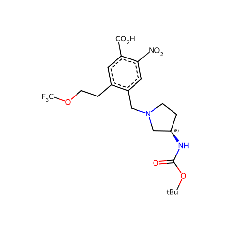 CC(C)(C)OC(=O)N[C@@H]1CCN(Cc2cc([N+](=O)[O-])c(C(=O)O)cc2CCOC(F)(F)F)C1